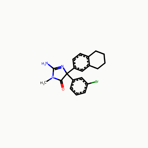 CN1C(=O)C(c2cccc(Br)c2)(c2ccc3c(c2)CCCC3)N=C1N